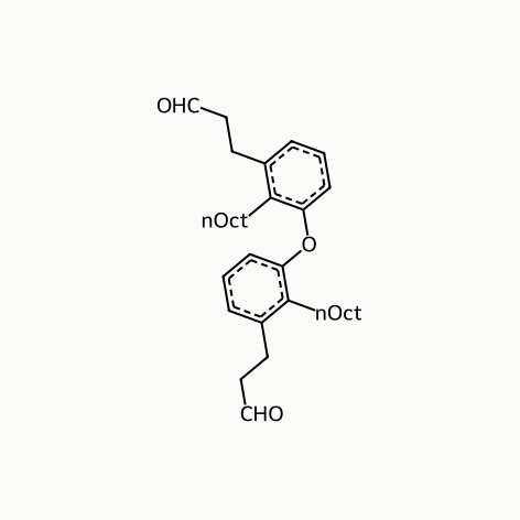 CCCCCCCCc1c(CCC=O)cccc1Oc1cccc(CCC=O)c1CCCCCCCC